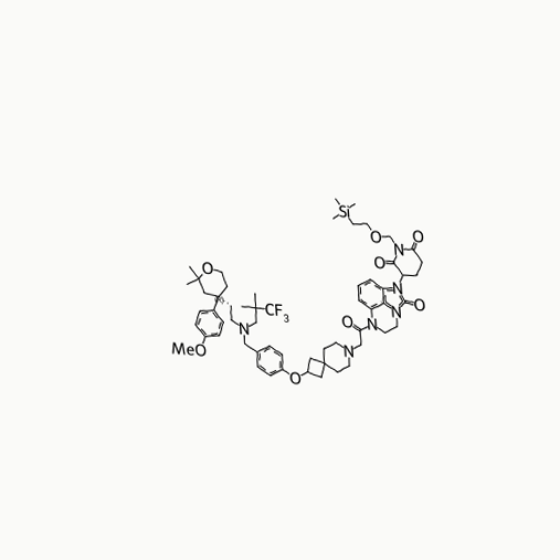 COc1ccc([C@]2(CCN(Cc3ccc(OC4CC5(CCN(CC(=O)N6CCn7c(=O)n(C8CCC(=O)N(COCC[Si](C)(C)C)C8=O)c8cccc6c87)CC5)C4)cc3)CC(C)(C)C(F)(F)F)CCOC(C)(C)C2)cc1